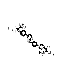 C[C@H](N)C(=O)N1CCN(c2ccc(Nc3nccc(-c4ccc(N[C@H](C)C(N)=O)cc4)n3)cc2)CC1